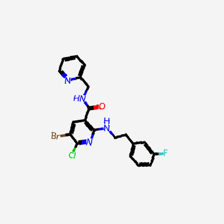 O=C(NCc1ccccn1)c1cc(Br)c(Cl)nc1NCCc1cccc(F)c1